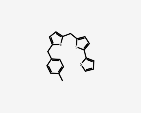 Cc1ccc(Cc2ccc(Cc3ccc(-c4cccs4)s3)s2)cc1